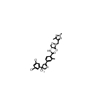 Cc1cc(C2=NCC(c3cc(Cl)cc(Cl)c3)(C(F)(F)F)C2)ccc1C(=O)N[C@@H]1CON(Cc2nn(C)nc2C)C1=O